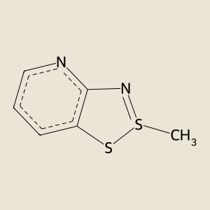 CS1=Nc2ncccc2S1